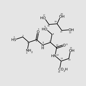 NC(CS)C(=O)NC(CO)C(=O)NC(CO)C(=O)O.OCC(O)CO